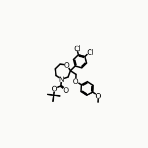 COc1ccc(OCC2(c3ccc(Cl)c(Cl)c3)CN(C(=O)OC(C)(C)C)CCCO2)cc1